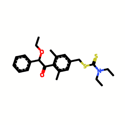 CCOC(C(=O)c1c(C)cc(CSC(=S)N(CC)CC)cc1C)c1ccccc1